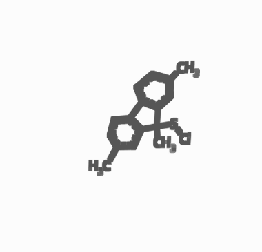 Cc1ccc2c(c1)C(C)(SCl)c1cc(C)ccc1-2